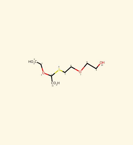 O=C(O)COC(SCCOCCO)C(=O)O